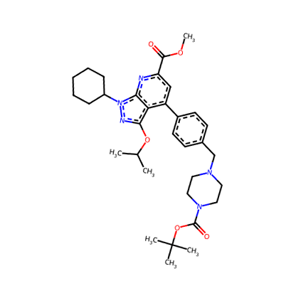 COC(=O)c1cc(-c2ccc(CN3CCN(C(=O)OC(C)(C)C)CC3)cc2)c2c(OC(C)C)nn(C3CCCCC3)c2n1